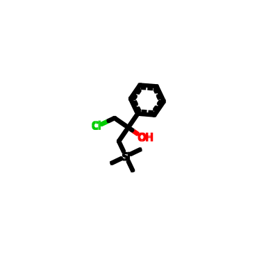 C[Si](C)(C)CC(O)(CCl)c1ccccc1